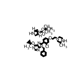 CC(C)(C)OC(=O)N1C[C@H]2C[C@@H]1CN2.C[C@H]1CN(CCOc2ccc(-c3nc4c(OC5(C)CC5)ncnc4n3Cc3ccccc3)c(Cl)c2)CCN1